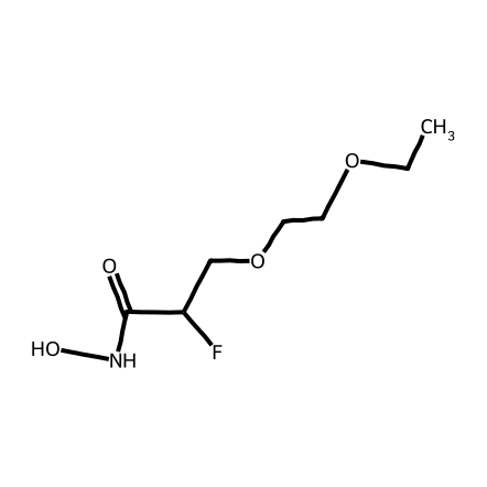 CCOCCOCC(F)C(=O)NO